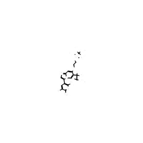 CC(C)(C)C(C)(O)c1cn2c(-c3cc(F)c(N)nc3F)cnc2cc1OCCO[Si](C)(C)C(C)(C)C